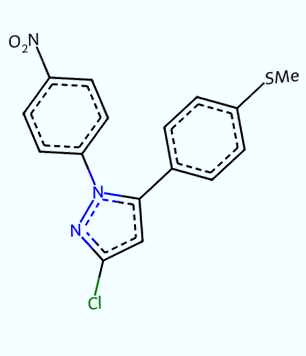 CSc1ccc(-c2cc(Cl)nn2-c2ccc([N+](=O)[O-])cc2)cc1